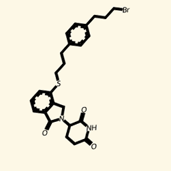 O=C1CCC(N2Cc3c(SCCCc4ccc(CCCBr)cc4)cccc3C2=O)C(=O)N1